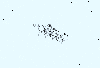 C[C@H]1CO[C@@]2(O[C@H]3C[C@H]4[C@@H]5CC[C@H]6CCCC[C@]6(C)[C@H]5CC[C@]4(C)[C@H]3[C@@H]2C)[C@@H](O)C1